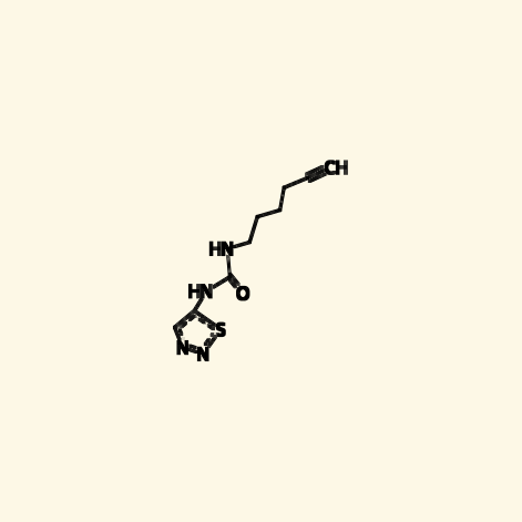 C#CCCCCNC(=O)Nc1cnns1